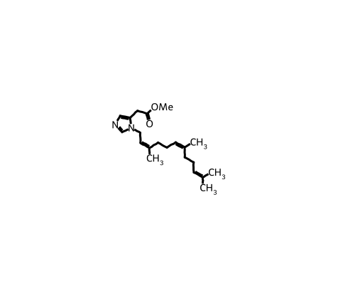 COC(=O)Cc1cncn1CC=C(C)CCC=C(C)CCC=C(C)C